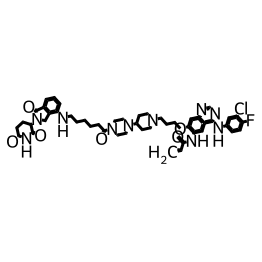 C=CC(=O)Nc1cc2c(Nc3ccc(F)c(Cl)c3)ncnc2cc1OCCCN1CCC(N2CCN(C(=O)CCCCCNc3cccc4c3CN(C3CCC(=O)NC3=O)C4=O)CC2)CC1